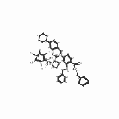 O=C(NOCc1ccccc1)c1ccc(N(Cc2ccc(C3CCCCC3)cc2)C(=O)[C@H]2CCCN2S(=O)(=O)c2c(F)c(F)c(F)c(F)c2F)cc1OCc1ccccc1